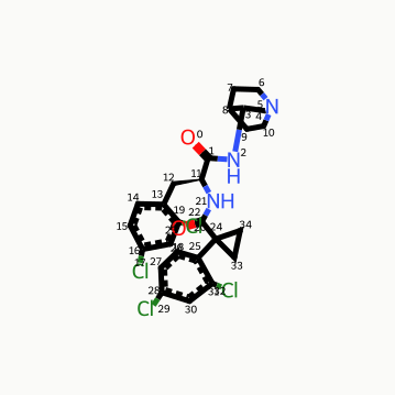 O=C(NC1CN2CCC1CC2)[C@H](Cc1ccc(Cl)cc1Cl)NC(=O)C1(c2ccc(Cl)cc2Cl)CC1